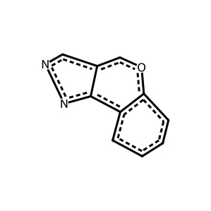 c1ccc2c3nncc-3coc2c1